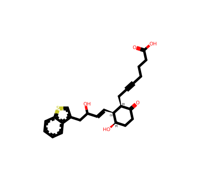 O=C(O)CCCC#CC[C@H]1C(=O)CC[C@@H](O)[C@H]1C=CC(O)Cc1csc2ccccc12